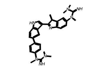 CC1C(c2c[nH]c3ccc(-c4ccc(N(C)C(=N)N(C)C)cc4)cc23)=Nc2ccc(N(C)C(=N)N(C)C)cc21